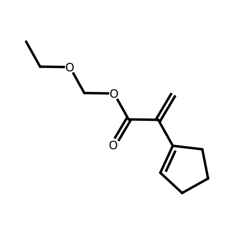 C=C(C(=O)OCOCC)C1=CCCC1